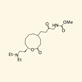 CCN(CC)CC[C@H]1CCCCC(CCC(=O)CNC(=O)OC)CCC(=O)O1